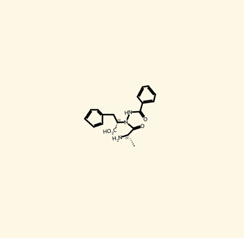 C[C@H](N)C(=O)N(NC(=O)c1ccccc1)[C@@H](Cc1ccccc1)C(=O)O